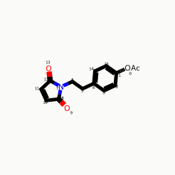 CC(=O)Oc1ccc(CCN2C(=O)C=CC2=O)cc1